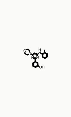 Cc1ccccc1Nc1cc(N2CCOCC2)nc(-c2cccc(O)c2)n1